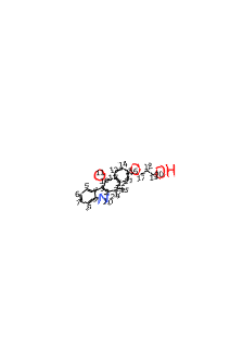 Cn1c2c(c3ccccc31)C(=O)c1ccc(OCCCO)cc1C2(C)C